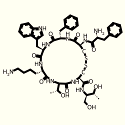 C[C@@H](O)C1NC(=O)[C@H](CCCCN)NC(=O)[C@@H](Cc2c[nH]c3ccccc23)NC(=O)[C@H](Cc2ccccc2)NC(=O)[C@@H](NC(=O)[C@H](N)Cc2ccccc2)CSSC[C@@H](C(=O)N[C@H](CO)[C@@H](C)O)NC1=O